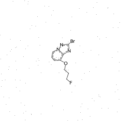 FCCCOc1cccn2nc(Br)nc12